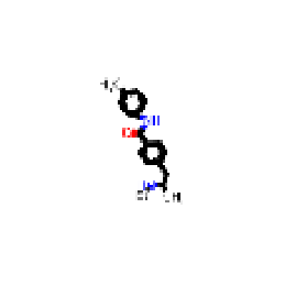 CCNC(C)Cc1ccc(C(=O)Nc2ccc(C)cc2)cc1